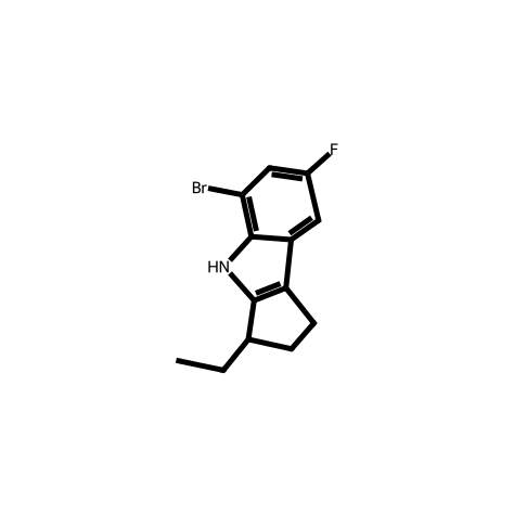 CCC1CCc2c1[nH]c1c(Br)cc(F)cc21